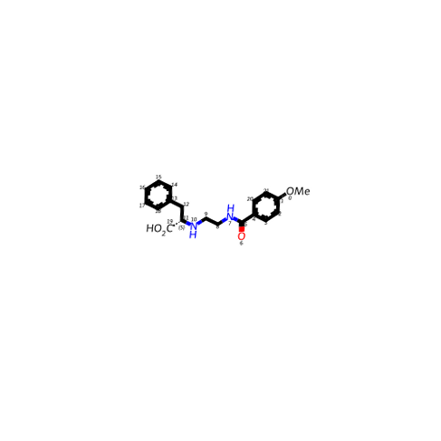 COc1ccc(C(=O)NCCN[C@@H](Cc2ccccc2)C(=O)O)cc1